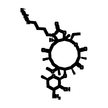 CC[C@H]1OC(=O)[C@H](C)C(=O)[C@H](C)[C@@H](O[C@@H]2O[C@H](C)CC(N)C2O)[C@](C)(OC)C[C@@H](C)C(=O)C[C@H]2N(CCCCN=[N+]=[N-])C(=O)O[C@]12C